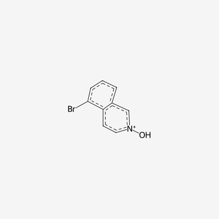 O[n+]1ccc2c(Br)cccc2c1